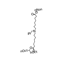 CCCCCCCCCOC(=O)CCCCCCCN(CCCCCCCC(=O)OC(CCCCCCCC)CCCCCCCC)CC(C)C